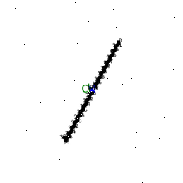 CCCCCCCCCCCCCCCCCCN(Cl)CCCCCCCCCCCCCCCCCC(C)C